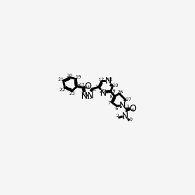 CN(C)C(=O)N1CC=C(c2cncc(-c3nnc(-c4ccccc4)o3)n2)CC1